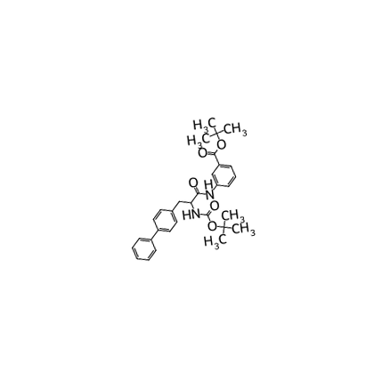 CC(C)(C)OC(=O)NC(Cc1ccc(-c2ccccc2)cc1)C(=O)Nc1cccc(C(=O)OC(C)(C)C)c1